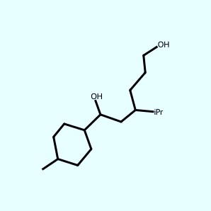 CC1CCC(C(O)CC(CCCO)C(C)C)CC1